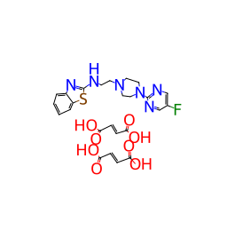 Fc1cnc(N2CCN(CCNc3nc4ccccc4s3)CC2)nc1.O=C(O)/C=C/C(=O)O.O=C(O)/C=C/C(=O)O